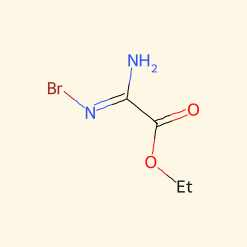 CCOC(=O)C(N)=NBr